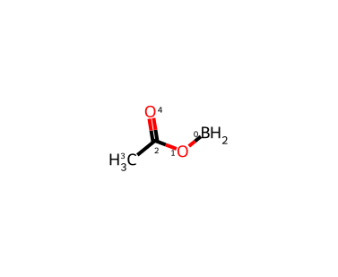 BOC(C)=O